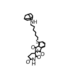 O=C1CCC(N2C(=O)c3cccc(SCCCCCCNC45CC6CC(CC(C6)C4)C5)c3C2=O)C(=O)N1